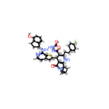 COc1cccc2c1CC[C@H]2Nc1nccc2cc(C3C4=C(NC(CCc5ccc(F)cc5)=C3c3n[nH]c(=O)o3)C35CC(CN3C4=O)C5)sc12